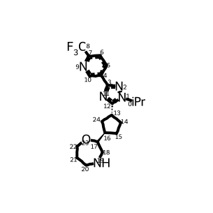 CC(C)n1nc(-c2ccc(C(F)(F)F)nc2)nc1[C@@H]1CC[C@@H](C2CNCCCO2)C1